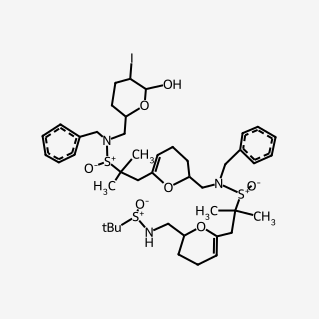 CC(C)(C)[S+]([O-])NCC1CCC=C(CC(C)(C)[S+]([O-])N(Cc2ccccc2)CC2CCC=C(CC(C)(C)[S+]([O-])N(Cc3ccccc3)CC3CCC(I)C(O)O3)O2)O1